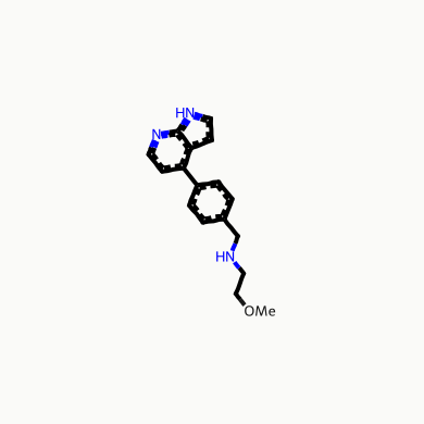 COCCNCc1ccc(-c2ccnc3[nH]ccc23)cc1